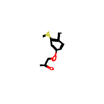 [CH2]c1ccc(OCC(C)=O)cc1SC